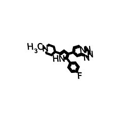 CN1CCC(c2cc(-c3ccn4nnnc4c3)c(-c3ccc(F)cc3)[nH]2)CC1